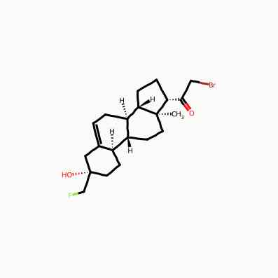 C[C@]12CC[C@H]3[C@@H](CC=C4C[C@](O)(CF)CC[C@@H]43)[C@@H]1CC[C@@H]2C(=O)CBr